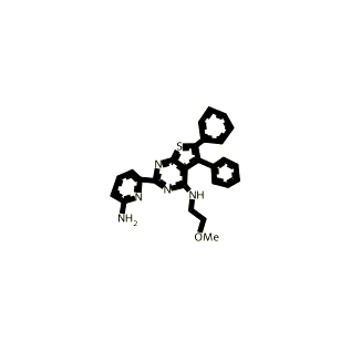 COCCNc1nc(-c2cccc(N)n2)nc2sc(-c3ccccc3)c(-c3ccccc3)c12